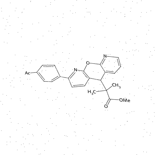 COC(=O)C(C)(C)C1c2cccnc2Oc2nc(-c3ccc(C(C)=O)cc3)ccc21